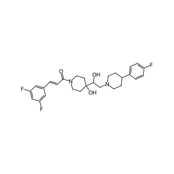 O=C(C=Cc1cc(F)cc(F)c1)N1CCC(O)(C(O)CN2CCC(c3ccc(F)cc3)CC2)CC1